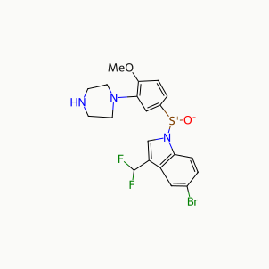 COc1ccc([S+]([O-])n2cc(C(F)F)c3cc(Br)ccc32)cc1N1CCNCC1